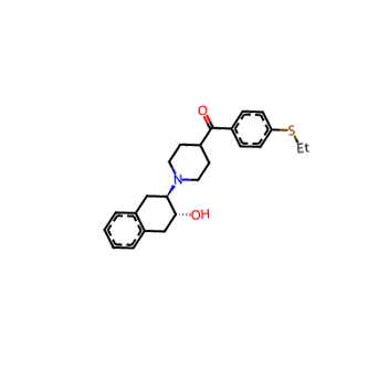 CCSc1ccc(C(=O)C2CCN([C@@H]3Cc4ccccc4C[C@H]3O)CC2)cc1